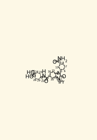 CC(C)n1c(=O)n(-c2cccc(C(N)=O)c2)c2ccc(C(=O)NC3(C)CCS(O)(O)CC3)cc21